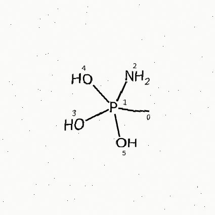 CP(N)(O)(O)O